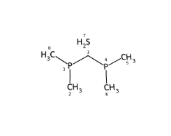 CP(C)CP(C)C.S